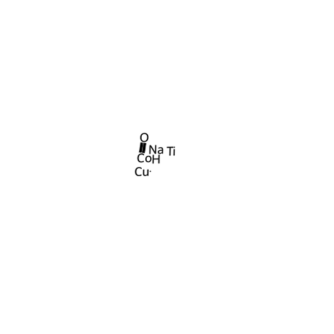 [Cu].[NaH].[O]=[Co].[Ti]